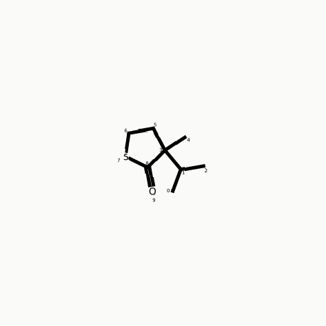 CC(C)C1(C)CCSC1=O